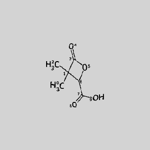 CC1(C)C(=O)OC1C(=O)O